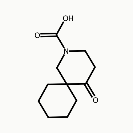 O=C(O)N1CCC(=O)C2(CCCCC2)C1